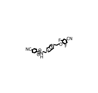 N#Cc1ccc(S(=O)(=O)NCCN2CC3CN(CCCOc4c(F)cc(C#N)cc4F)CC(C2)O3)cc1